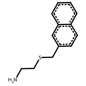 NCCSCc1ccc2ccccc2c1